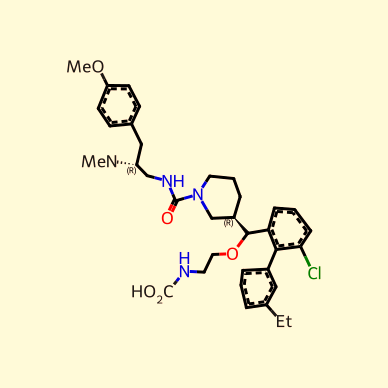 CCc1cccc(-c2c(Cl)cccc2C(OCCNC(=O)O)[C@@H]2CCCN(C(=O)NC[C@@H](Cc3ccc(OC)cc3)NC)C2)c1